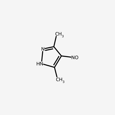 Cc1n[nH]c(C)c1N=O